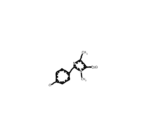 Cc1nc(-c2ccc(Cl)cc2)n(C)c1C=O